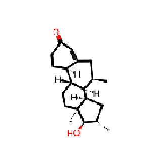 C[C@@H]1CC2=CC(=O)CC[C@@H]2[C@H]2CC[C@]3(C)[C@H](O)[C@@H](C)C[C@@H]3[C@@H]21